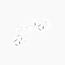 CN(C)c1nc(NC2CCC(CNC(=O)c3cccc([N+](=O)[O-])c3)CC2)nc2ccccc12